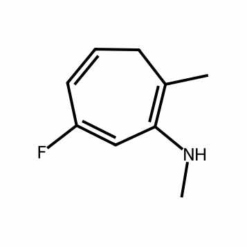 CNC1=C(C)CC=CC(F)=C1